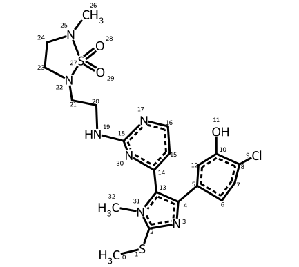 CSc1nc(-c2ccc(Cl)c(O)c2)c(-c2ccnc(NCCN3CCN(C)S3(=O)=O)n2)n1C